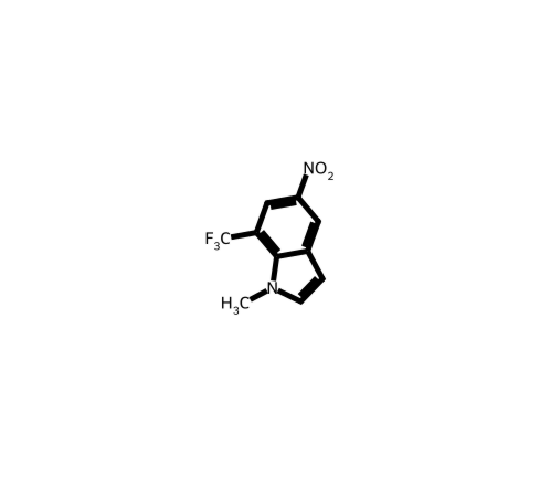 Cn1ccc2cc([N+](=O)[O-])cc(C(F)(F)F)c21